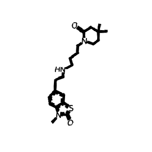 Cn1c(=O)sc2cc(CCNCCCCN3CCC(C)(C)CC3=O)ccc21